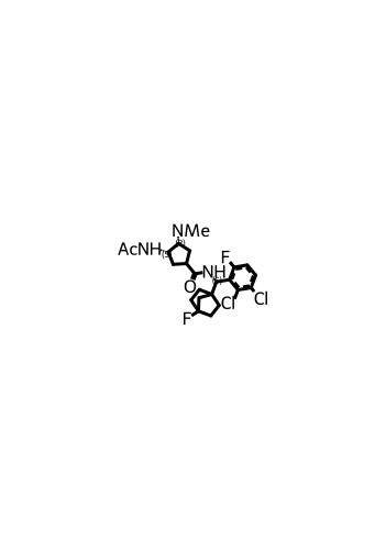 CN[C@@H]1CC(C(=O)N[C@H](c2c(F)ccc(Cl)c2Cl)C23CCC(F)(CC2)C3)C[C@@H]1NC(C)=O